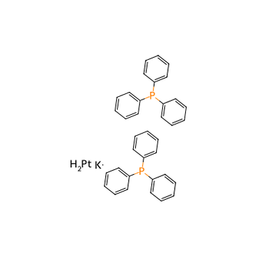 [K].[PtH2].c1ccc(P(c2ccccc2)c2ccccc2)cc1.c1ccc(P(c2ccccc2)c2ccccc2)cc1